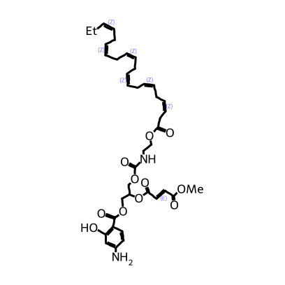 CC/C=C\C/C=C\C/C=C\C/C=C\C/C=C\C/C=C\CC(=O)OCCNC(=O)OCC(COC(=O)c1ccc(N)cc1O)OC(=O)/C=C/C(=O)OC